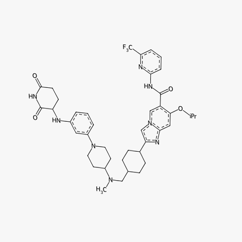 CC(C)Oc1cc2nc(C3CCC(CN(C)C4CCN(c5cccc(NC6CCC(=O)NC6=O)c5)CC4)CC3)cn2cc1C(=O)Nc1cccc(C(F)(F)F)n1